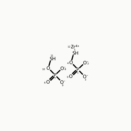 O=P([O-])([O-])OS.O=P([O-])([O-])OS.[Zr+4]